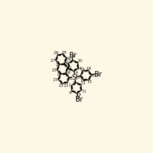 Brc1ccc([Si](c2ccc(Br)cc2)(c2ccc(Br)cc2)c2cccc3cc4ccccc4cc23)cc1